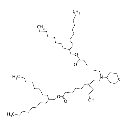 CCCCCCCCC(CCCCCCCC)COC(=O)CCCCCN(CCO)CCN(CCCCCC(=O)OCC(CCCCCCCC)CCCCCCCC)C1CCSCC1